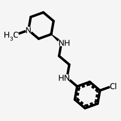 CN1CCC[C@@H](NCCNc2cccc(Cl)c2)C1